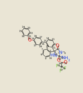 CN1C(=O)C(c2ccccc2)(c2cccc(-c3ccc(Oc4ccccc4)cc3)c2)NC1(N)OC(=O)C(F)(F)F